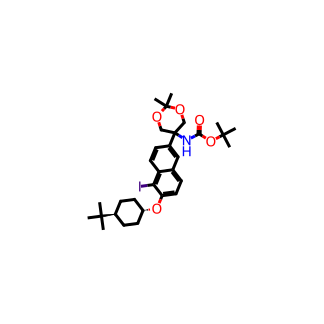 CC(C)(C)OC(=O)NC1(c2ccc3c(I)c(O[C@H]4CC[C@H](C(C)(C)C)CC4)ccc3c2)COC(C)(C)OC1